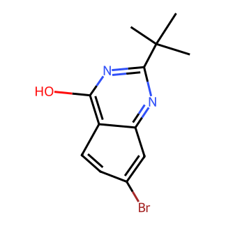 CC(C)(C)c1nc(O)c2ccc(Br)cc2n1